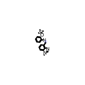 Cn1cnc2c(/C=N\c3ccccc3O[Si](C)(C)C)cccc21